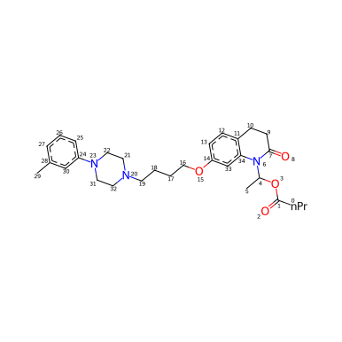 CCCC(=O)OC(C)N1C(=O)CCc2ccc(OCCCCN3CCN(c4cccc(C)c4)CC3)cc21